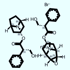 CCCC[N+]1(C)[C@@H]2C[C@@H](OC(=O)[C@H](CO)c3ccccc3)C[C@H]1[C@@H]1O[C@@H]12.CN1[C@@H]2CC[C@H]1C[C@@H](OC(=O)[C@H](CO)c1ccccc1)C2.[Br-]